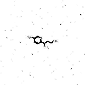 CCCC(C)c1ccc(C)cn1